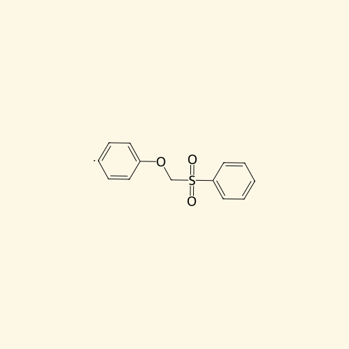 O=S(=O)(COc1cc[c]cc1)c1ccccc1